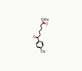 COC(=O)CCCCC(=O)c1ccc(C#N)cc1